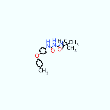 Cc1ccc(Oc2ccc(NC(=O)Nc3nc(C(C)(C)C)co3)cc2)cc1